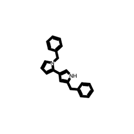 c1ccc(Cc2cc(-c3cccn3Cc3ccccc3)c[nH]2)cc1